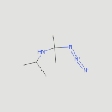 CC(C)NC(C)(C)N=[N+]=[N-]